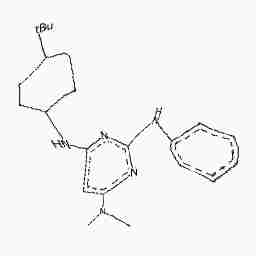 CN(C)c1cc(NC2CCC(C(C)(C)C)CC2)nc(Nc2ccccc2)n1